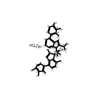 CC1=Cc2c(-c3ccc(C)c(C)c3C)ccc(C)c2[CH]1[Zr]([CH3])([CH3])(=[SiH2])[CH]1C(C(C)C)=Cc2c(-c3ccc(C)c(C)c3C)cccc21.Cl.Cl